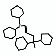 CC(CC=CP(C1CCCCC1)C1CCCCC1)(C1CCCCC1)C1CCCCC1